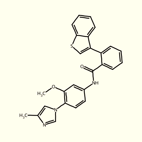 COc1cc(NC(=O)c2ccccc2-c2csc3ccccc23)ccc1-n1cnc(C)c1